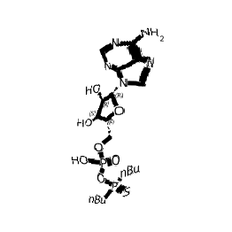 CCCCP(=S)(CCCC)OP(=O)(O)OC[C@H]1O[C@@H](n2cnc3c(N)ncnc32)[C@H](O)[C@@H]1O